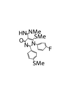 CNC(=N)c1c(SC)n(-c2ccc(F)cc2)c(-c2ccc(SC)cc2)nc1=O